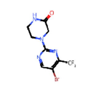 O=C1CN(c2ncc(Br)c(C(F)(F)F)n2)CCN1